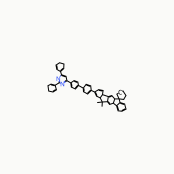 CC1(C)C2=CC3c4ccccc4C4(CCCCC4)C3C=C2C2C=CC(c3ccc(-c4ccc(-c5cc(C6=CCCC=C6)nc(C6=CCCC=C6)n5)cc4)cc3)=CC21